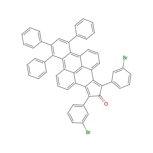 O=c1c(-c2cccc(Br)c2)c2c3cccc4c5c(-c6ccccc6)cc(-c6ccccc6)c(-c6ccccc6)c5c5cccc(c2c1-c1cccc(Br)c1)c5c43